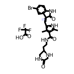 Cc1[nH]c(/C=C2\C(=O)Nc3ccc(Br)cc32)c(C)c1C(=O)NCCC1CNC(=O)CN1.O=C(O)C(F)(F)F